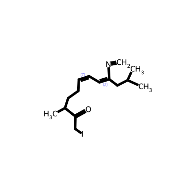 C=N/C(=C\C=C/CCC(C)C(=O)CI)CC(C)C